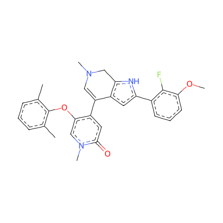 COc1cccc(-c2cc3c([nH]2)CN(C)C=C3c2cc(=O)n(C)cc2Oc2c(C)cccc2C)c1F